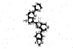 c1cnc(-c2ccc3[nH]nc(-c4nc5c(-c6ccc7c(c6)OCO7)cncc5[nH]4)c3n2)cn1